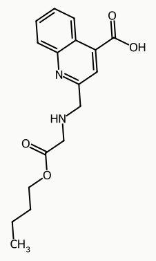 CCCCOC(=O)CNCc1cc(C(=O)O)c2ccccc2n1